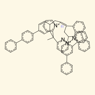 CC12c3cccc(n3)-n3c4ccccc4c4cccc(c43)/C(CC3c4ccccc4-c4cc(-c5ccccc5)cc[n+]43)=C(\CC3C=CC(c4ccc(-c5ccccc5)cc4)=CC31)[n+]1ccccc12